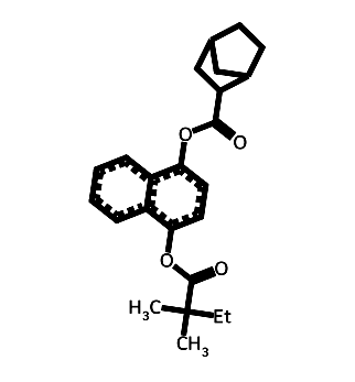 CCC(C)(C)C(=O)Oc1ccc(OC(=O)C2CC3CCC2C3)c2ccccc12